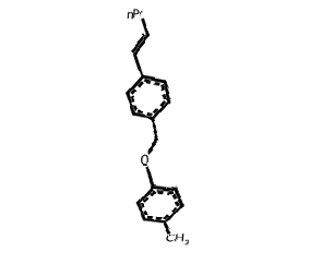 CCCC=Cc1ccc(COc2ccc(C)cc2)cc1